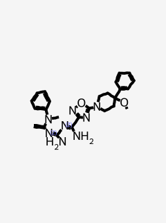 C=C(/N=C(N)\N=C(/N)c1noc(N2CCC(OC)(c3ccccc3)CC2)n1)N(C)c1ccccc1